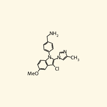 COc1ccc2c(c1)c(Cl)c(-n1cnc(C)c1)n2-c1ccc(CN)cc1